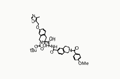 COc1ccc(C(=O)N2CCc3cc(C(=O)NC[C@@H](O)[C@@]4(O)Cc5ccc(OCc6ocnc6C)cc5CN4C(=O)OC(C)(C)C)ccc3C2)cc1